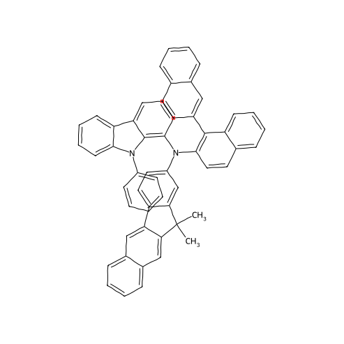 CC1(C)c2cc(N(c3ccc4ccccc4c3-c3ccc4ccccc4c3)c3cccc4c5ccccc5n(-c5ccccc5)c34)ccc2-c2cc3ccccc3cc21